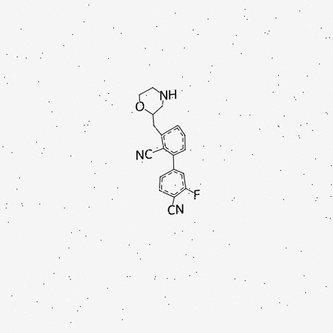 N#Cc1ccc(-c2cccc(CC3CNCCO3)c2C#N)cc1F